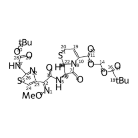 CON=C(C(=O)N[C@@H]1C(=O)N2C(C(=O)OCOC(=O)C(C)(C)C)=CCS[C@@H]12)c1csc(NC(=O)OC(C)(C)C)n1